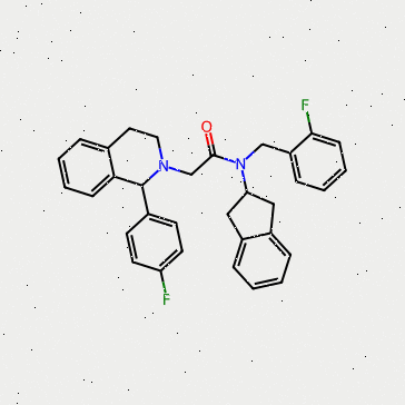 O=C(CN1CCc2ccccc2C1c1ccc(F)cc1)N(Cc1ccccc1F)C1Cc2ccccc2C1